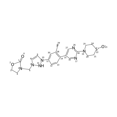 O=C1OCCN1CN1C=CN(c2ccc(-c3cnc(N4CC[S+]([O-])CC4)nc3)c(F)c2)N1